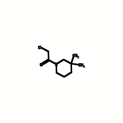 CC1(C)CCCN(C(=O)CCl)C1